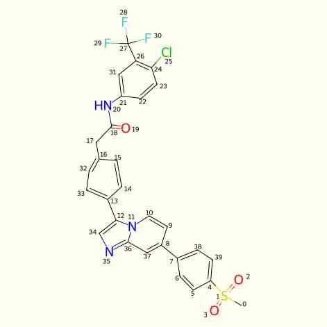 CS(=O)(=O)c1ccc(-c2ccn3c(-c4ccc(CC(=O)Nc5ccc(Cl)c(C(F)(F)F)c5)cc4)cnc3c2)cc1